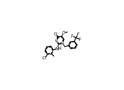 COc1cn(Cc2cccc(C(F)(F)F)c2)c(Nc2cccc(Cl)c2C)nc1=O